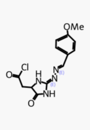 COc1ccc(/C=N/N=C2/NC(=O)C(CC(=O)Cl)N2)cc1